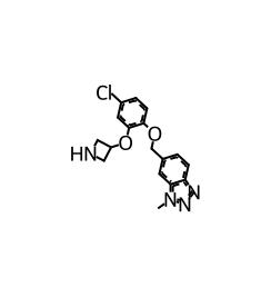 Cn1nnc2ccc(COc3ccc(Cl)cc3OC3CNC3)cc21